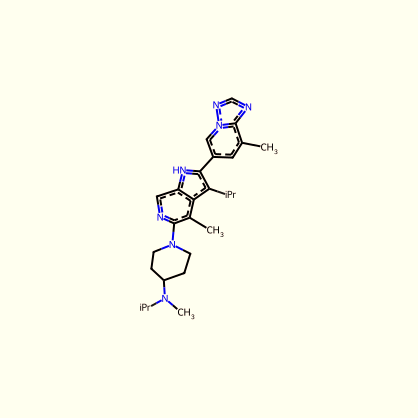 Cc1c(N2CCC(N(C)C(C)C)CC2)ncc2[nH]c(-c3cc(C)c4ncnn4c3)c(C(C)C)c12